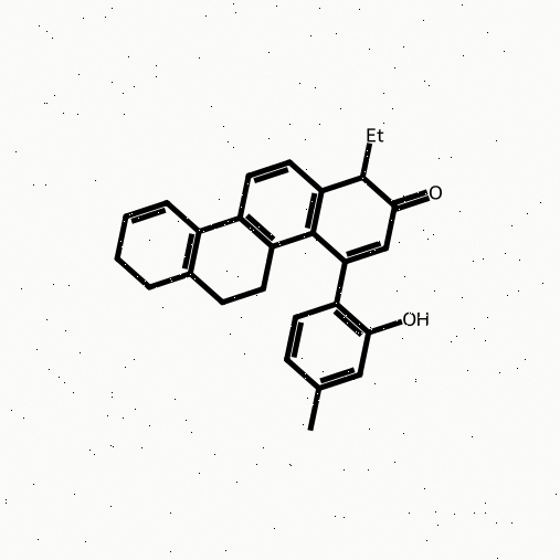 CCC1C(=O)C=C(c2ccc(C)cc2O)c2c1ccc1c2CCC2=C1C=CCC2